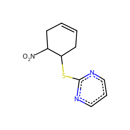 O=[N+]([O-])C1CC=CCC1Sc1ncccn1